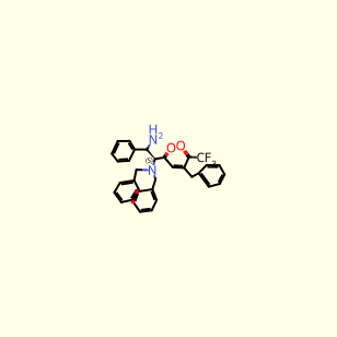 NC(c1ccccc1)[C@@H](C(=O)C=C(Cc1ccccc1)C(=O)C(F)(F)F)N(Cc1ccccc1)Cc1ccccc1